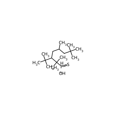 CC(CC(C(C)(C)C)C(C)(C)[PH](O)=S)CC(C)(C)C